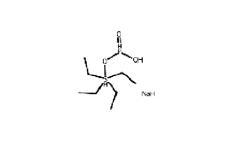 CC[SH](CC)(CC)(CC)O[PH](=O)O.[NaH]